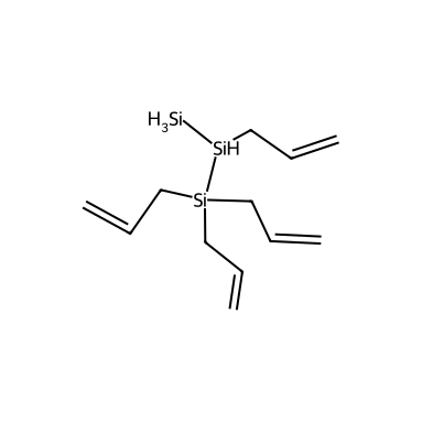 C=CC[SiH]([SiH3])[Si](CC=C)(CC=C)CC=C